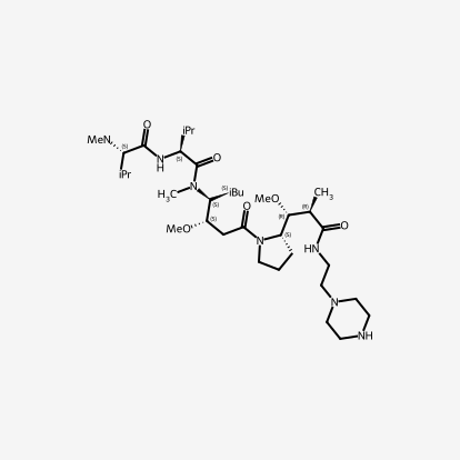 CC[C@H](C)[C@@H]([C@H](CC(=O)N1CCC[C@H]1[C@H](OC)[C@@H](C)C(=O)NCCN1CCNCC1)OC)N(C)C(=O)[C@@H](NC(=O)[C@@H](NC)C(C)C)C(C)C